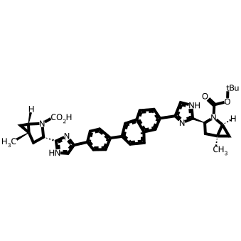 CC(C)(C)OC(=O)N1[C@H]2C[C@@]2(C)C[C@H]1c1nc(-c2ccc3cc(-c4ccc(-c5c[nH]c([C@@H]6C[C@]7(C)C[C@@H]7N6C(=O)O)n5)cc4)ccc3c2)c[nH]1